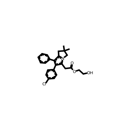 CC1(C)Cc2c(-c3ccccc3)c(-c3ccc(Cl)cc3)c(CC(=O)OCCO)n2C1